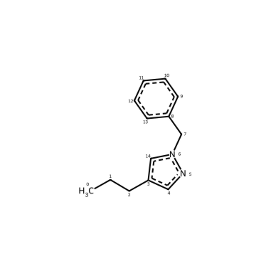 CCCc1cnn(Cc2ccccc2)c1